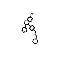 Oc1ccc2c(c1)OCC(c1ccccc1)C2c1ccc(CCCN2CCCCC2)cc1